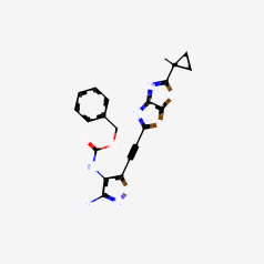 Nc1nsc(C#Cc2nc3nc(C4(C(=O)O)CC4)sc3s2)c1NC(=O)OCc1ccccc1